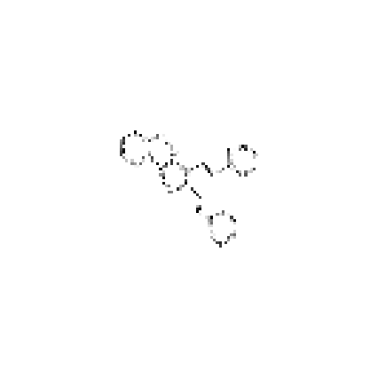 C(=Cc1ccc2c(ccc3ccccc32)c1C=Cc1ccccc1)c1ccccc1